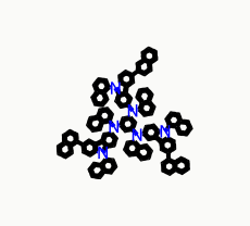 c1ccc2cc(-c3ccc4c(c3)c3cc(N(c5cc(N(c6ccc7c(c6)c6cc(-c8cccc9ccccc89)ccc6n7-c6cccc7ccccc67)c6cccc7ccccc67)cc(N(c6ccc7c(c6)c6cc(-c8cccc9ccccc89)ccc6n7-c6cccc7ccccc67)c6cccc7ccccc67)c5)c5cccc6ccccc56)ccc3n4-c3cccc4ccccc34)ccc2c1